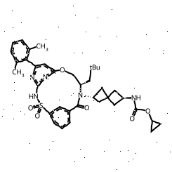 Cc1cccc(C)c1-c1cc2nc(n1)NS(=O)(=O)c1cccc(c1)C(=O)N([C@H]1CC3(C[C@H](NC(=O)OC4CC4)C3)C1)[C@H](CC(C)(C)C)CO2